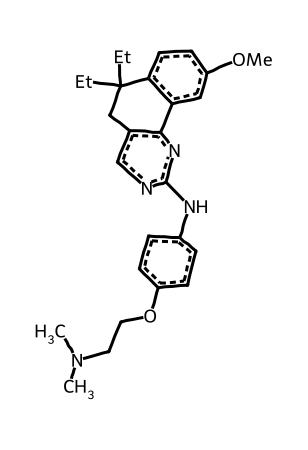 CCC1(CC)Cc2cnc(Nc3ccc(OCCN(C)C)cc3)nc2-c2cc(OC)ccc21